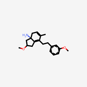 COc1cccc(CCC2=C3CC(OC)C[C@]3(N)CC=C2C)c1